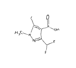 Cn1nc(C(F)F)c(C(=O)O)c1I